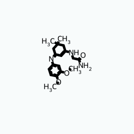 COc1ccc(N=C2C=C(NCC(N)=O)CC(C)(C)C2)cc1OC